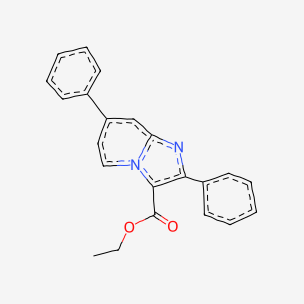 CCOC(=O)c1c(-c2ccccc2)nc2cc(-c3ccccc3)ccn12